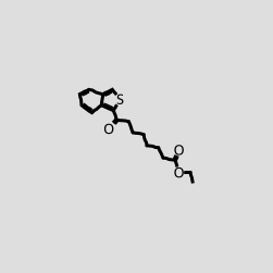 CCOC(=O)CCCCCCC(=O)c1scc2ccccc12